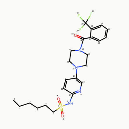 CCCCCCS(=O)(=O)Nc1ccc(N2CCN(C(=O)c3ccccc3C(F)(F)F)CC2)cn1